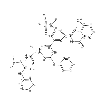 CC(C)[C@H](NC(=O)[C@H](C)NC[C@H](Cc1ccccc1)NC(=O)c1cc(C(=O)N[C@H](C)c2cccc(Cl)c2)cc(N(C)S(C)(=O)=O)c1)C(=O)Nc1cnccn1